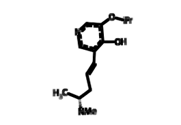 CN[C@H](C)C/C=C/c1cncc(OC(C)C)c1O